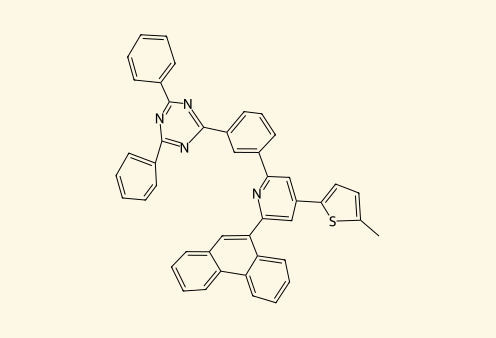 Cc1ccc(-c2cc(-c3cccc(-c4nc(-c5ccccc5)nc(-c5ccccc5)n4)c3)nc(-c3cc4ccccc4c4ccccc34)c2)s1